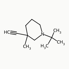 C#CC1(C)CCCN(C(C)(C)C)C1